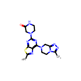 CCCc1nc2c(N3CCn4c(nnc4C(F)(F)F)C3)nc(N3CCNC(=O)C3)nc2s1